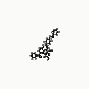 CCC(C)OP(=O)(O)c1cc(-c2ccc(COC3CCCCO3)cc2)cc2ccc(C(=O)c3ccccc3)nc12